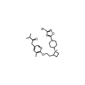 Cc1cc(CC(=O)N(C)C)cnc1OCCC1CC[C@@H]1C1CCN(c2nc(C(C)C)no2)CC1